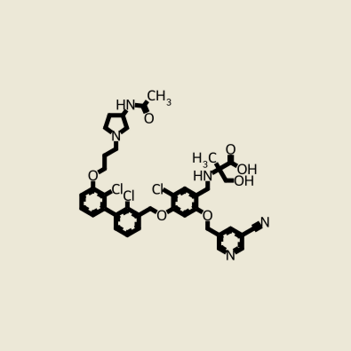 CC(=O)NC1CCN(CCCOc2cccc(-c3cccc(COc4cc(OCc5cncc(C#N)c5)c(CNC(C)(CO)C(=O)O)cc4Cl)c3Cl)c2Cl)C1